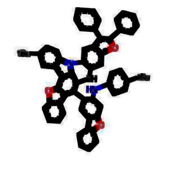 CC(C)(C)c1ccc(Nc2cc3oc4ccccc4c3cc2-c2c3c4c(c5cc(C(C)(C)C)ccc5n4-c4cc5c(-c6ccccc6)c(-c6ccccc6)oc5cc4B3)c3oc4ccccc4c23)cc1